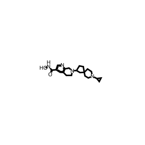 O=C(NO)c1cnc2c(c1)CCN(C1CCC3(CCN(C4CC4)CC3)C1)C2